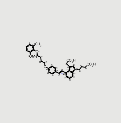 COc1cccc(C)c1OCCCCOc1ccc(/C=C/c2cccc3c2c(CC(=O)O)cn3CCCC(=O)O)cc1